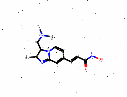 CCCCC1N=C2C=C(/C=C/C(=O)NO)C=CN2C1CN(CC)CCCC